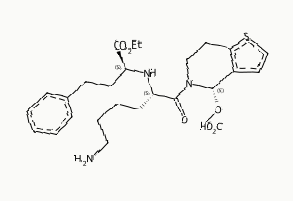 CCOC(=O)[C@H](CCc1ccccc1)N[C@@H](CCCCN)C(=O)N1CCc2sccc2[C@@H]1OC(=O)O